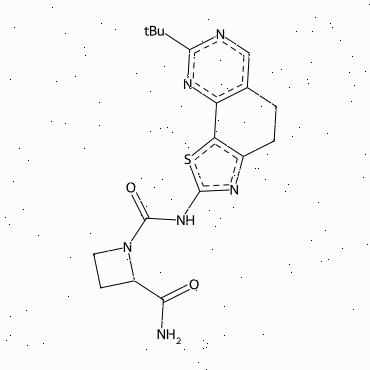 CC(C)(C)c1ncc2c(n1)-c1sc(NC(=O)N3CCC3C(N)=O)nc1CC2